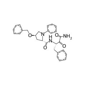 NC(=O)C(=O)[C@H](Cc1ccccc1)NC(=O)[C@@H]1C[C@@H](OCc2ccccc2)CN1c1ccccc1